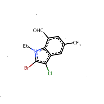 CCn1c(Br)c(Cl)c2cc(C(F)(F)F)cc(C=O)c21